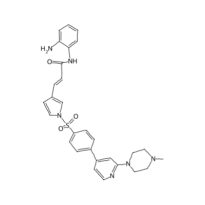 CN1CCN(c2cc(-c3ccc(S(=O)(=O)n4ccc(C=CC(=O)Nc5ccccc5N)c4)cc3)ccn2)CC1